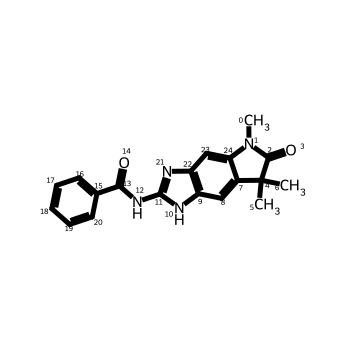 CN1C(=O)C(C)(C)c2cc3[nH]c(NC(=O)c4ccccc4)nc3cc21